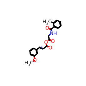 COc1cccc(/C=C/C(=O)OC(=O)CNC(=O)c2ccccc2C)c1